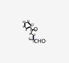 C/C([C]=O)=C\CC(=O)c1ccccc1